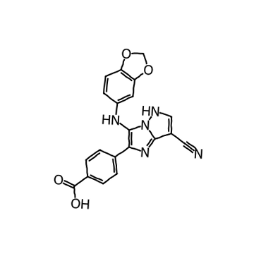 N#Cc1c[nH]n2c(Nc3ccc4c(c3)OCO4)c(-c3ccc(C(=O)O)cc3)nc12